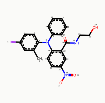 Cc1cc(I)ccc1N(c1ccccc1)c1ccc([N+](=O)[O-])cc1C(=O)NCCO